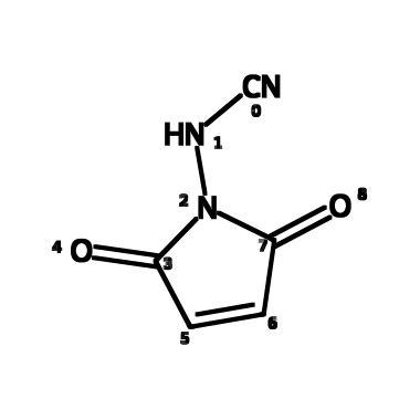 N#CNN1C(=O)C=CC1=O